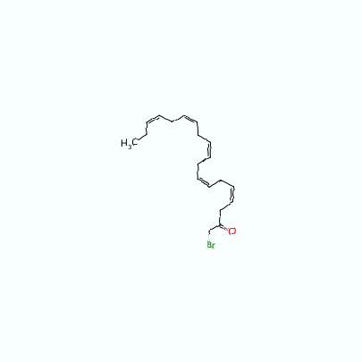 CC/C=C\C/C=C\C/C=C\C/C=C\C/C=C\CC(=O)CBr